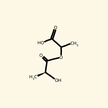 CC(OC(=O)[C@H](C)O)C(=O)O